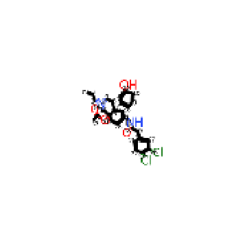 C=CCN1CC[C@@]2(c3cccc(O)c3)C[C@H](NC(=O)Cc3ccc(Cl)c(Cl)c3)CC[C@]2(OC(C)=O)C1